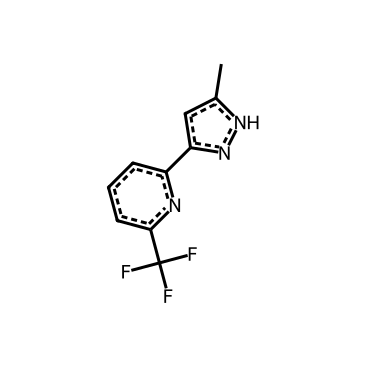 Cc1cc(-c2cccc(C(F)(F)F)n2)n[nH]1